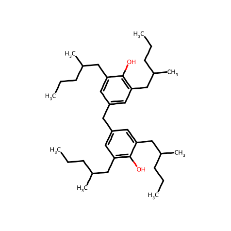 CCCC(C)Cc1cc(Cc2cc(CC(C)CCC)c(O)c(CC(C)CCC)c2)cc(CC(C)CCC)c1O